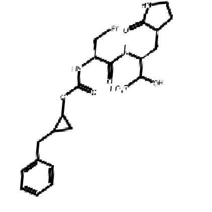 CC(C)C[C@H](NC(=O)OC1CC1Cc1ccccc1)C(=O)N[C@@H](C[C@@H]1CCNC1=O)C(O)S(=O)(=O)O